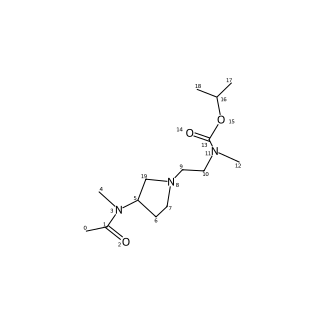 CC(=O)N(C)C1CCN(CCN(C)C(=O)OC(C)C)C1